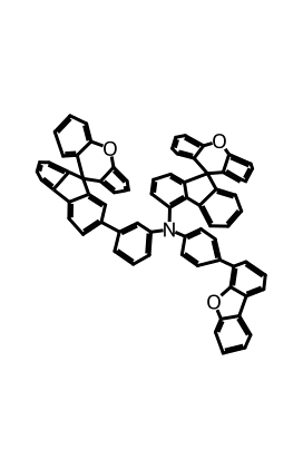 c1cc(-c2ccc3c(c2)C2(c4ccccc4Oc4ccccc42)c2ccccc2-3)cc(N(c2ccc(-c3cccc4c3oc3ccccc34)cc2)c2cccc3c2-c2ccccc2C32c3ccccc3Oc3ccccc32)c1